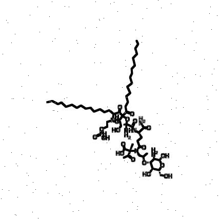 CCCCCCCCCCCCCCCC(=O)C(O[C@@](C)(N)C(=O)N[C@H](CCC(=O)N(CC(C)O[C@@H]1[C@@H](N)[C@@H](O)O[C@H](CO)[C@H]1O)[C@](C)(C(C)=O)C(=O)O)C(N)=O)(C(=O)C(CCCCCCCCCCCCCC)NCCO[PH](=O)O)[C@@H](O)CO